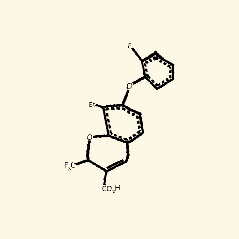 CCc1c(Oc2ccccc2F)ccc2c1OC(C(F)(F)F)C(C(=O)O)=C2